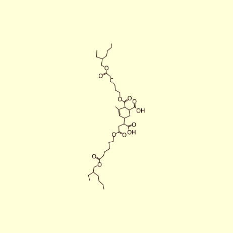 CCCCC(CC)COC(=O)CCCCCOC(=O)CC(C(=O)O)C1C=C(C)C(C(=O)OCCCCCC(=O)OCC(CC)CCCC)C(C(=O)O)C1